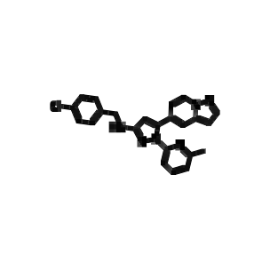 Cc1cccc(-n2nc(NCc3ccc(Cl)cc3)cc2-c2ccn3nccc3c2)n1